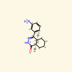 Nc1cccc(C2=NNC(=O)[C@@H]3CCCC[C@H]23)c1